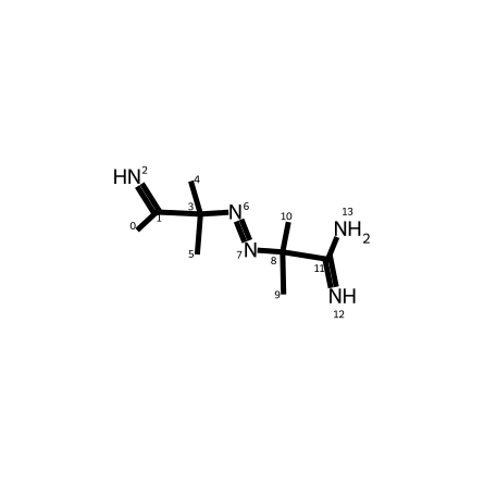 CC(=N)C(C)(C)/N=N/C(C)(C)C(=N)N